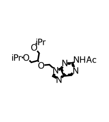 CC(=O)Nc1ncc2ncn(COC(COC(C)C)COC(C)C)c2n1